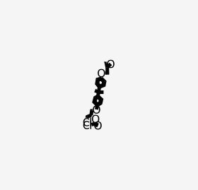 CC(C)(c1ccc(OCC2CO2)cc1)c1ccc(OCC(CCl)OC(=O)Cl)cc1